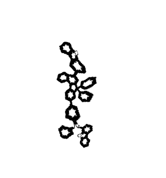 c1ccc(N(c2ccc(-c3ccc4c(c3)C(c3ccccc3)(c3ccccc3)c3cc(-c5ccc6oc7ccccc7c6c5)c5ccccc5c3-4)cc2)c2cccc3c2oc2ccccc23)cc1